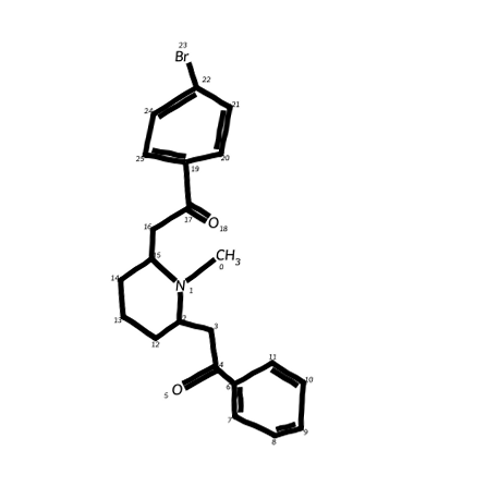 CN1C(CC(=O)c2ccccc2)CCCC1CC(=O)c1ccc(Br)cc1